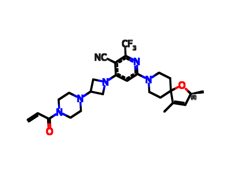 C=CC(=O)N1CCN(C2CN(c3cc(N4CCC5(CC4)O[C@@H](C)C=C5C)nc(C(F)(F)F)c3C#N)C2)CC1